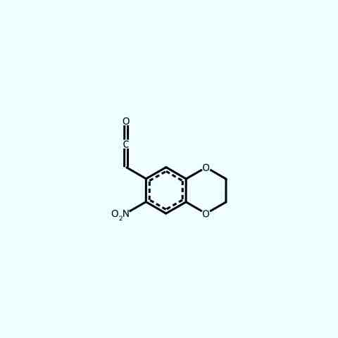 O=C=Cc1cc2c(cc1[N+](=O)[O-])OCCO2